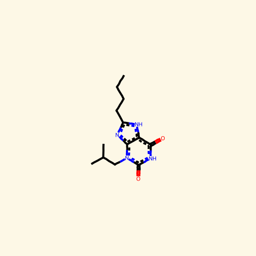 CCCCc1nc2c([nH]1)c(=O)[nH]c(=O)n2CC(C)C